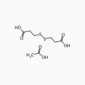 CC(=O)O.O=C(O)CCSSCCC(=O)O